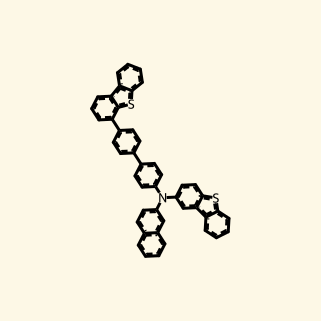 c1ccc2cc(N(c3ccc(-c4ccc(-c5cccc6c5sc5ccccc56)cc4)cc3)c3ccc4sc5ccccc5c4c3)ccc2c1